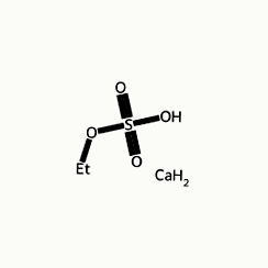 CCOS(=O)(=O)O.[CaH2]